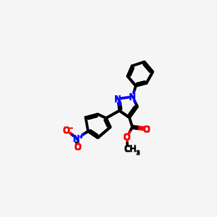 COC(=O)c1cn(-c2ccccc2)nc1-c1ccc([N+](=O)[O-])cc1